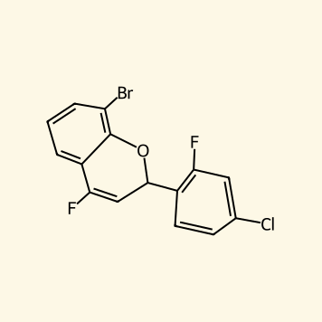 FC1=CC(c2ccc(Cl)cc2F)Oc2c(Br)cccc21